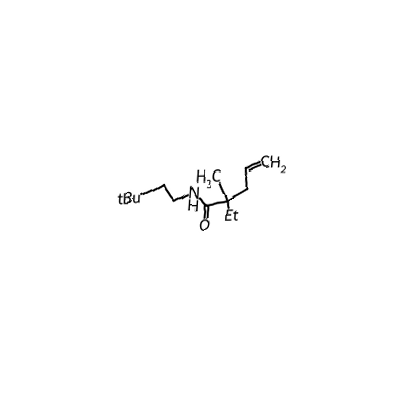 C=CCC(C)(CC)C(=O)NCCC(C)(C)C